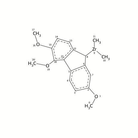 COc1ccc2c(c1)[CH]([Zr]([CH3])[CH3])c1ccc(OC)c(OC)c1-2